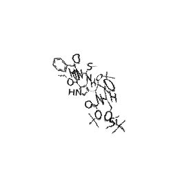 CCOC(=O)c1[nH]cc([C@@H]2[C@H]3OC(C)(C)O[C@@H]3[C@@H](CO[Si](C)(C)C(C)(C)C)N2C(=O)OC(C)(C)C)c1/N=C(\NC(=O)c1ccccc1)SC